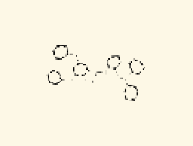 CCCCCC(CC)(Pc1ccccc1CN(c1ccccc1)c1ccccc1)c1cc(Cc2ccccc2)cc(Cc2ccccc2)c1O